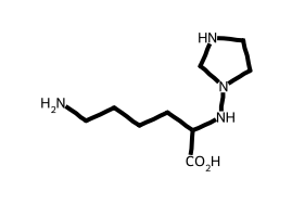 NCCCCC(NN1CCNC1)C(=O)O